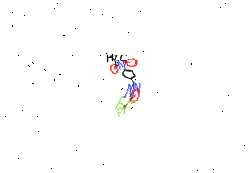 CC(=O)N(C(=O)C1CC1)c1ccc(-c2noc(C(F)(F)F)n2)cc1